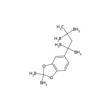 BC(B)(C)CC(B)(B)c1ccc2c(c1)OC(B)(B)O2